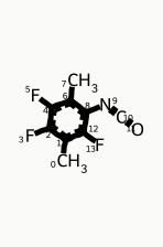 Cc1c(F)c(F)c(C)c(N=C=O)c1F